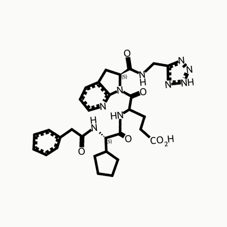 O=C(O)CCC(NC(=O)[C@@H](NC(=O)Cc1ccccc1)C1CCCC1)C(=O)N1c2ncccc2C[C@H]1C(=O)NCc1nn[nH]n1